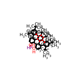 CC(C)(C)c1ccc(-c2cccc(-c3cccc(-c4ccc(C(C)(C)C)cc4C(C)(C)C)c3-c3ccc(C(C)(C)C)cc3C(C)(C)C)c2-c2ccc(C(C)(C)C)cc2C(C)(C)C)c(C(C)(C)C)c1.OPO